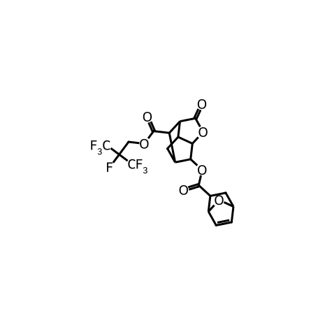 O=C(OC1C2CC3C1OC(=O)C3C2C(=O)OCC(F)(C(F)(F)F)C(F)(F)F)C1CC2C=CC1O2